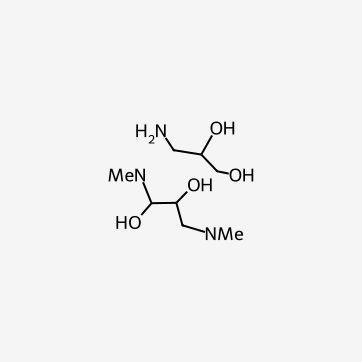 CNCC(O)C(O)NC.NCC(O)CO